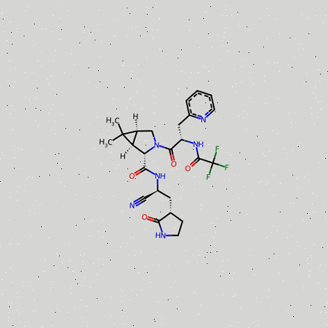 CC1(C)[C@@H]2[C@@H](C(=O)N[C@H](C#N)C[C@@H]3CCNC3=O)N(C(=O)[C@H](Cc3ccccn3)NC(=O)C(F)(F)F)C[C@@H]21